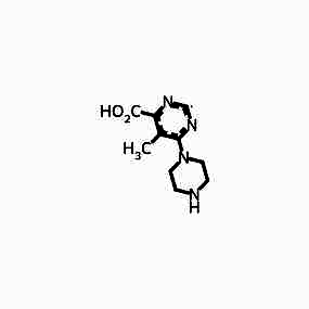 Cc1c(C(=O)O)n[c]nc1N1CCNCC1